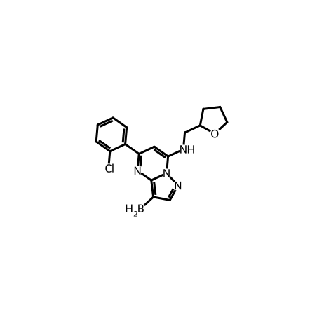 Bc1cnn2c(NCC3CCCO3)cc(-c3ccccc3Cl)nc12